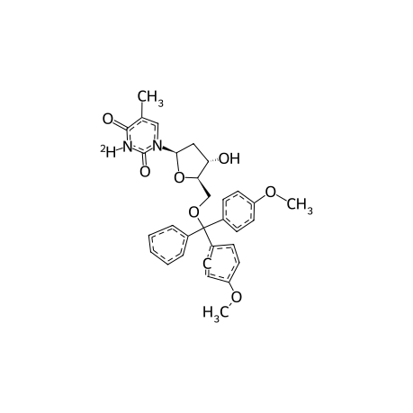 [2H]n1c(=O)c(C)cn([C@H]2C[C@H](O)[C@@H](COC(c3ccccc3)(c3ccc(OC)cc3)c3ccc(OC)cc3)O2)c1=O